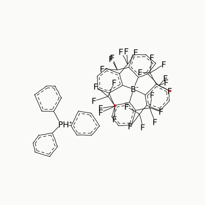 FC(F)(F)c1cccc(C(F)(F)F)c1[B-](c1c(C(F)(F)F)cccc1C(F)(F)F)(c1c(C(F)(F)F)cccc1C(F)(F)F)c1c(C(F)(F)F)cccc1C(F)(F)F.c1ccc([PH+](c2ccccc2)c2ccccc2)cc1